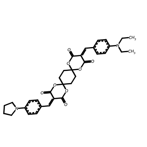 CCN(CC)c1ccc(C=C2C(=O)OC3(CCC4(CC3)OC(=O)C(=Cc3ccc(N5CCCC5)cc3)C(=O)O4)OC2=O)cc1